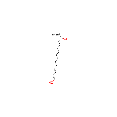 CCCCCC(O)CCCCCCCCC=CC=CO